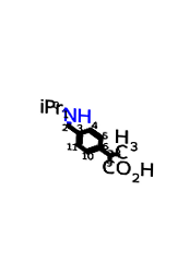 CC(C)NCc1ccc(C(C)C(=O)O)cc1